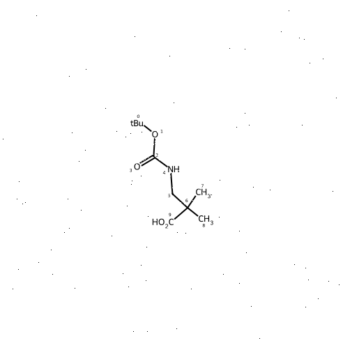 CC(C)(C)OC(=O)NCC(C)(C)C(=O)O